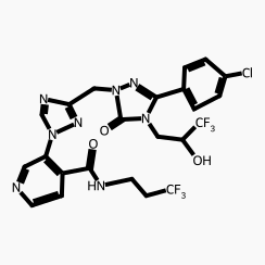 O=C(NCCC(F)(F)F)c1ccncc1-n1cnc(Cn2nc(-c3ccc(Cl)cc3)n(CC(O)C(F)(F)F)c2=O)n1